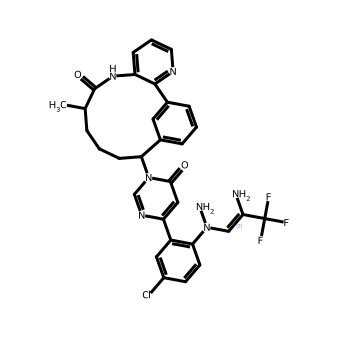 CC1CCCC(n2cnc(-c3cc(Cl)ccc3N(N)/C=C(\N)C(F)(F)F)cc2=O)c2cccc(c2)-c2ncccc2NC1=O